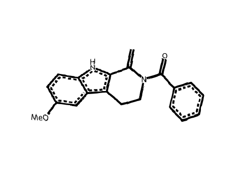 C=C1c2[nH]c3ccc(OC)cc3c2CCN1C(=O)c1ccccc1